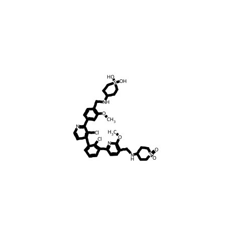 COc1cc(-c2nccc(-c3cccc(-c4ccc(CNC5CCS(=O)(=O)CC5)c(OC)n4)c3Cl)c2Cl)ccc1CNC1CCS(O)(O)CC1